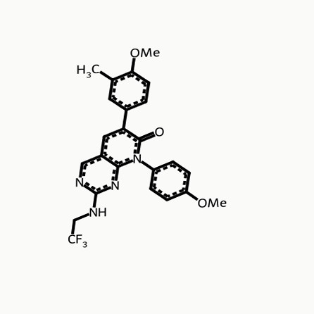 COc1ccc(-n2c(=O)c(-c3ccc(OC)c(C)c3)cc3cnc(NCC(F)(F)F)nc32)cc1